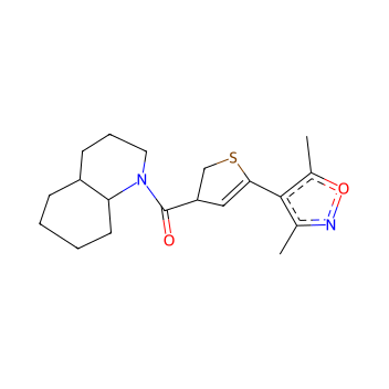 Cc1noc(C)c1C1=CC(C(=O)N2CCCC3CCCCC32)CS1